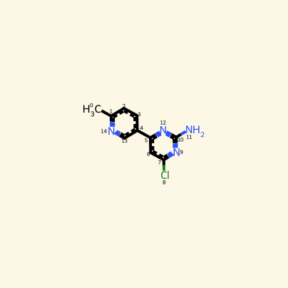 Cc1ccc(-c2cc(Cl)nc(N)n2)cn1